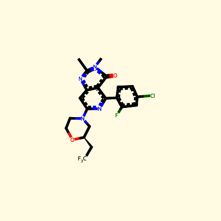 Cc1nc2cc(N3CCO[C@H](CC(F)(F)F)C3)nc(-c3ccc(Cl)cc3F)c2c(=O)n1C